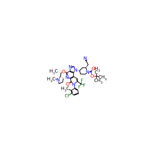 Cc1c(Cl)cccc1-n1c(C(F)(F)F)cc2c(nc(O[C@@H](C)[C@@H]3CCCN3C)c3ncn([C@H]4CCN(C(=O)OC(C)(C)C)[C@H](CC#N)C4)c32)c1=O